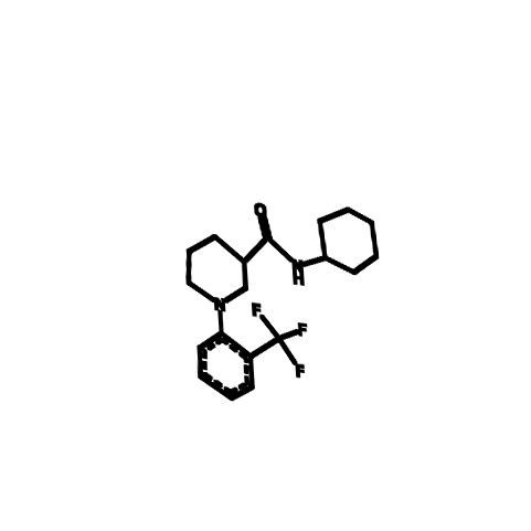 O=C(NC1CCCCC1)C1CCCN(c2ccccc2C(F)(F)F)C1